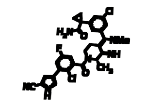 CN/C(=C1/CCN(C(=O)c2cc(F)cc(-c3c[nH]c(C#N)c3)c2Cl)[C@@H](C)C1=N)c1cc(Cl)cc(C2(C(N)=O)CC2)c1